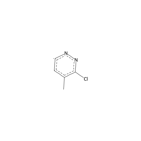 Cc1c[c]nnc1Cl